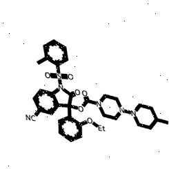 CCOc1ccccc1C1(OC(=O)N2CCN(N3CCC(C)CC3)CC2)C(=O)N(S(=O)(=O)c2ccccc2C)c2ccc(C#N)cc21